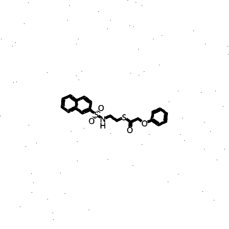 O=C(COc1ccccc1)SCCNS(=O)(=O)c1ccc2ccccc2c1